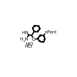 CCCCCc1cccc(OC(C(=N)N)c2ccccc2)c1.Cl.Cl